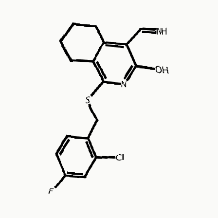 N=Cc1c(O)nc(SCc2ccc(F)cc2Cl)c2c1CCCC2